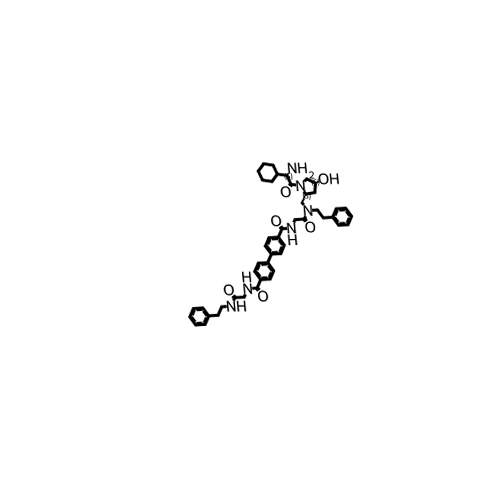 N[C@H](C(=O)N1C[C@@H](O)C[C@H]1CN(CCc1ccccc1)C(=O)CNC(=O)c1ccc(-c2ccc(C(=O)NCC(=O)NCCc3ccccc3)cc2)cc1)C1CCCCC1